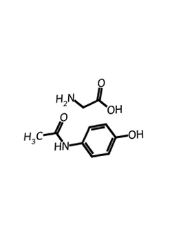 CC(=O)Nc1ccc(O)cc1.NCC(=O)O